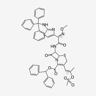 CO/N=C(/C(=O)NC1C(=O)N2C(C(=O)OC(c3ccccc3)c3ccccc3)=C(/C=C(\C)OS(C)(=O)=O)CSC12)c1csc(NC(c2ccccc2)(c2ccccc2)c2ccccc2)n1